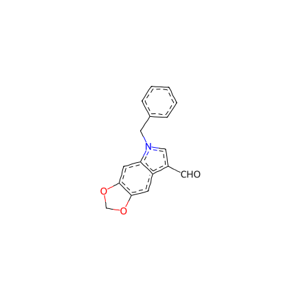 O=Cc1cn(Cc2ccccc2)c2cc3c(cc12)OCO3